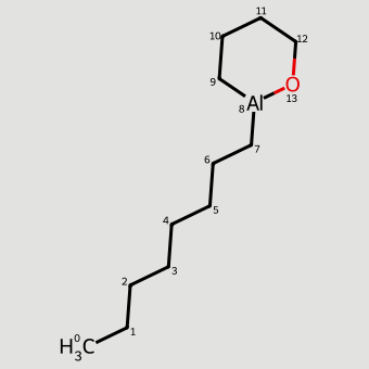 CCCCCCC[CH2][Al]1[CH2]CCC[O]1